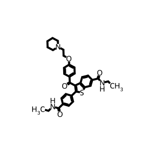 CCNC(=O)c1ccc(-c2sc3cc(C(=O)NCC)ccc3c2C(=O)c2ccc(OCCN3CCCCC3)cc2)cc1